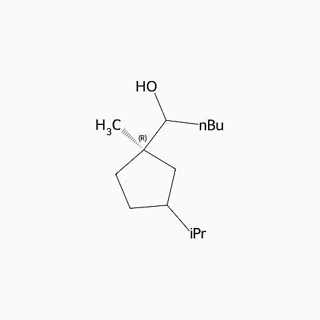 CCCCC(O)[C@]1(C)CCC(C(C)C)C1